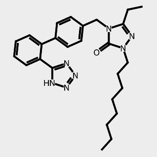 CCCCCCCCn1nc(CC)n(Cc2ccc(-c3ccccc3-c3nnn[nH]3)cc2)c1=O